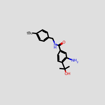 CC(C)(C)c1ccc(CNC(=O)c2ccc(C(C)(C)O)c(N)c2)cc1